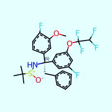 COc1cc([C@](Cc2ccccc2)(N[S+]([O-])C(C)(C)C)c2cc(F)cc(OC(F)(F)C(F)F)c2)ccc1F